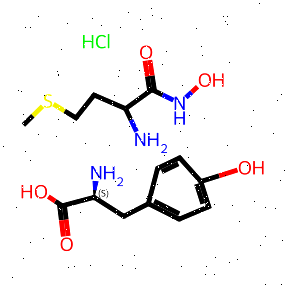 CSCCC(N)C(=O)NO.Cl.N[C@@H](Cc1ccc(O)cc1)C(=O)O